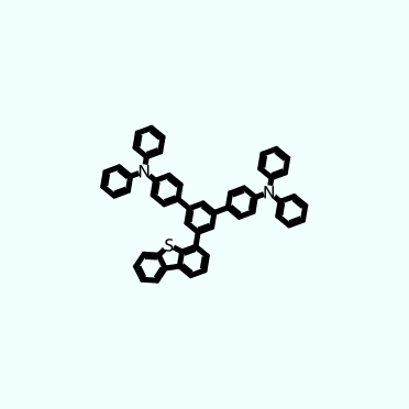 c1ccc(N(c2ccccc2)c2ccc(-c3cc(-c4ccc(N(c5ccccc5)c5ccccc5)cc4)cc(-c4cccc5c4sc4ccccc45)c3)cc2)cc1